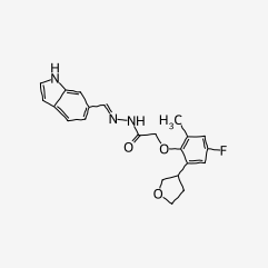 Cc1cc(F)cc(C2CCOC2)c1OCC(=O)N/N=C/c1ccc2cc[nH]c2c1